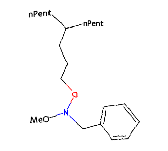 CCCCCC(CCCCC)CCCON(Cc1ccccc1)OC